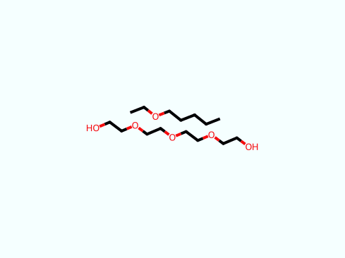 CCCCCOCC.OCCOCCOCCOCCO